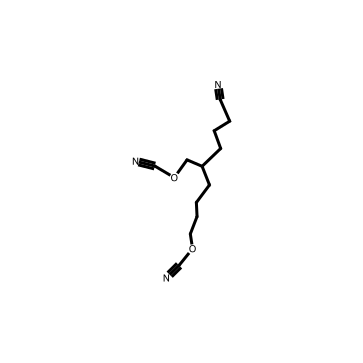 N#CCCCC(CCCCOC#N)COC#N